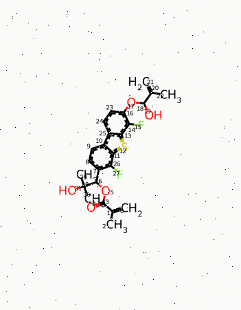 C=C(C)C(=O)OC(c1ccc2c(sc3c(F)c(OC(O)C(=C)C)ccc32)c1F)C(C)(C)O